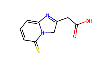 O=C(O)CC1=Nc2cccc(=S)n2C1